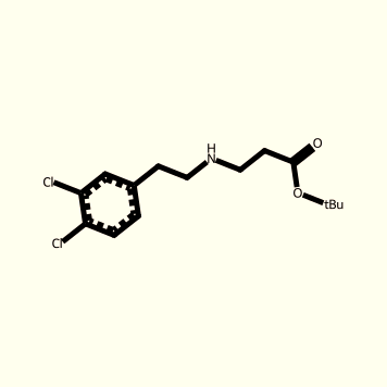 CC(C)(C)OC(=O)CCNCCc1ccc(Cl)c(Cl)c1